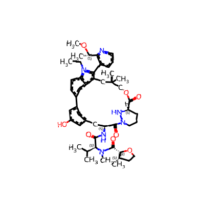 CCn1c(-c2cccnc2[C@H](C)OC)c2c3cc(ccc31)-c1cc(O)cc(c1)C[C@H](NC(=O)[C@H](C(C)C)N(C)C(=O)[C@@H]1OCC[C@@H]1C)C(=O)N1CCC[C@H](N1)C(=O)OCC(C)(C)C2